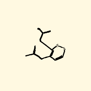 CC(C)CC1=C(CC(C)C)SSC=C1